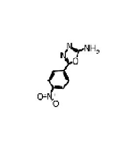 Nc1nnc(-c2ccc([N+](=O)[O-])cc2)o1